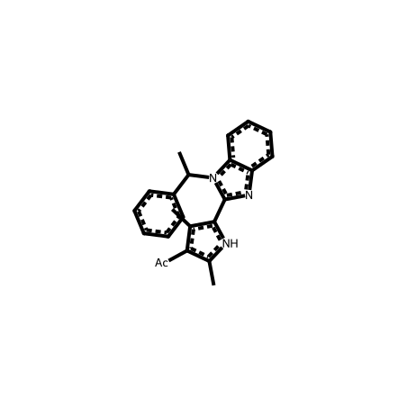 CC(=O)c1c(C)[nH]c(-c2nc3ccccc3n2C(C)c2ccccc2)c1C